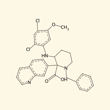 COc1cc(NC2CCCN(Cc3ccccc3)C2(C(=O)O)c2ccc3cccnc3c2)c(Cl)cc1Cl